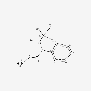 CC(C(OCN)c1ccccc1)C(C)(C)C